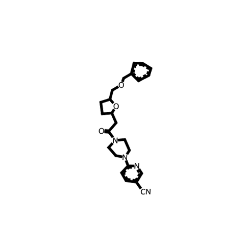 N#Cc1ccc(N2CCN(C(=O)CC3CCC(COCc4ccccc4)O3)CC2)nc1